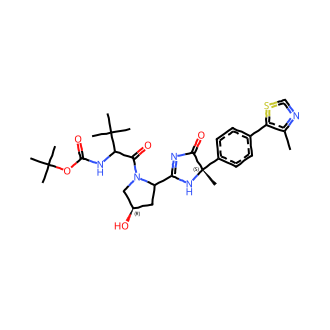 Cc1ncsc1-c1ccc([C@]2(C)NC(C3C[C@@H](O)CN3C(=O)C(NC(=O)OC(C)(C)C)C(C)(C)C)=NC2=O)cc1